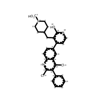 O=C(O)N1CCC(Cc2c(-c3ccc4nc(Cl)c(-c5ccccc5)c(Cl)c4c3)ccnc2O)CC1